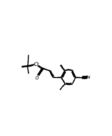 Cc1cc(C#N)cc(C)c1/C=C/C(=O)OC(C)(C)C